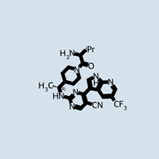 CC(C)C(N)C(=O)N1CCC([C@@H](C)Nc2ncc(C#N)c(-c3c[nH]c4ncc(C(F)(F)F)cc34)n2)CC1